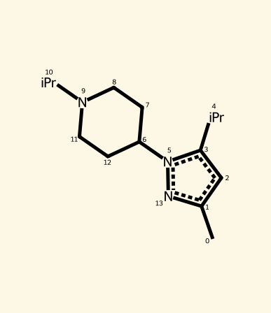 Cc1cc(C(C)C)n(C2CCN(C(C)C)CC2)n1